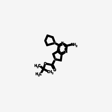 CC(C)(C)OC(=O)N1Cc2nc(N)nc(N3CCCC3)c2C1